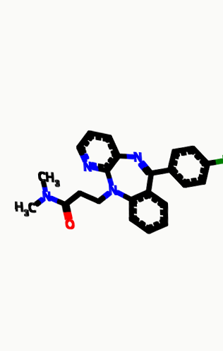 CN(C)C(=O)CCN1c2ccccc2C(c2ccc(Br)cc2)=Nc2cccnc21